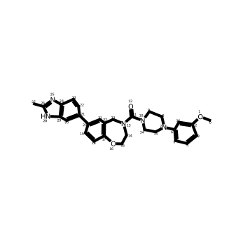 COc1cccc(N2CCN(C(=O)N3CCOc4ccc(-c5ccc6nc(C)[nH]c6c5)cc4C3)CC2)c1